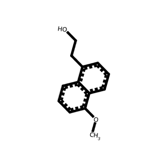 COc1cccc2c(CCO)cccc12